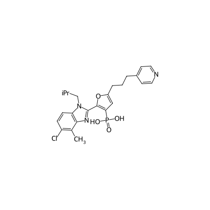 Cc1c(Cl)ccc2c1nc(-c1oc(CCCc3ccncc3)cc1P(=O)(O)O)n2CC(C)C